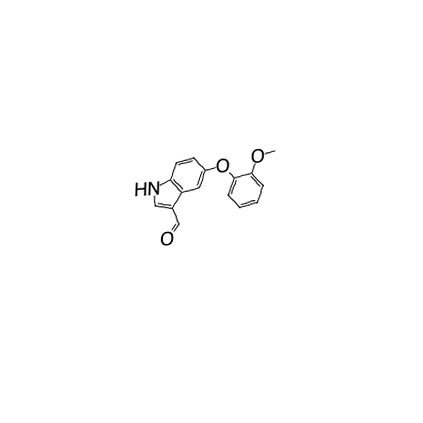 COc1ccccc1Oc1ccc2[nH]cc(C=O)c2c1